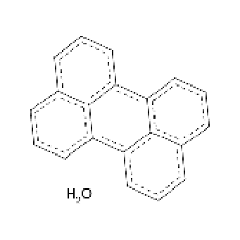 O.c1cc2cccc3c4cccc5cccc(c(c1)c23)c54